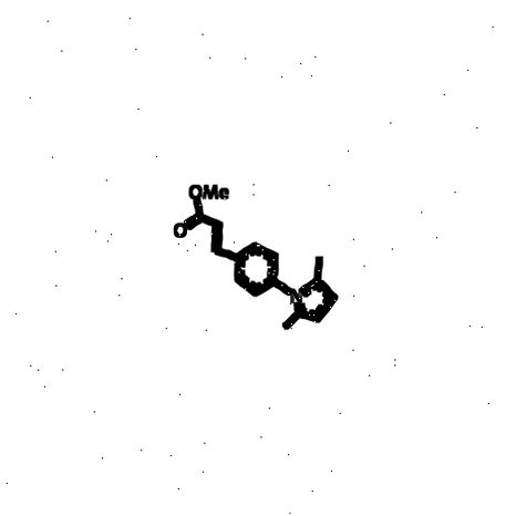 COC(=O)/C=C/c1ccc(-n2c(C)ccc2C)cc1